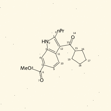 CCCc1[nH]c2cc(C(=O)OC)ccc2c1C(=O)C1CCCC1